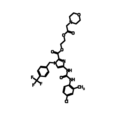 Cc1cc(Cl)ccc1NC(=O)Nc1cn(Cc2ccc(C(F)(F)F)cc2)c(C(=O)OCCOC(=O)CN2CCOCC2)n1